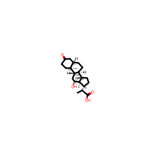 CC(C(=O)O)[C@H]1CC[C@H]2[C@@H]3CC[C@@H]4CC(=O)CC[C@]4(C)[C@H]3C[C@H](O)[C@]12C